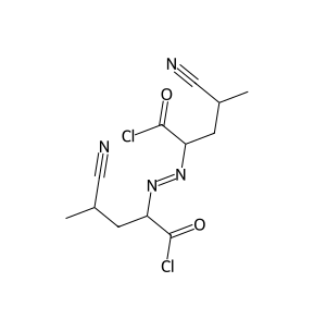 CC(C#N)CC(N=NC(CC(C)C#N)C(=O)Cl)C(=O)Cl